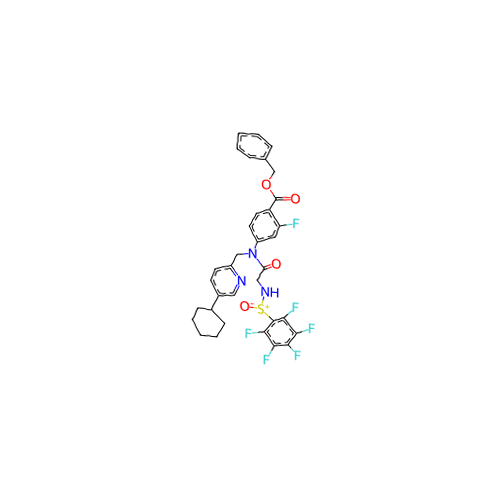 O=C(OCc1ccccc1)c1ccc(N(Cc2ccc(C3CCCCC3)cn2)C(=O)CN[S+]([O-])c2c(F)c(F)c(F)c(F)c2F)cc1F